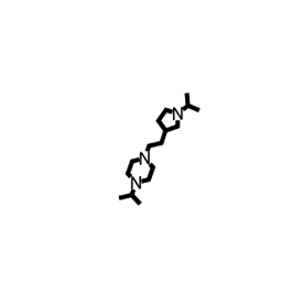 CC(C)N1CCN(CCC2CCN(C(C)C)C2)CC1